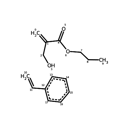 C=C(CO)C(=O)OCCC.C=Cc1ccccc1